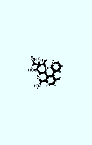 CC1OC(c2c(C(N)=O)ncc(F)c2-c2cccnc2)CC(O)C1(O)CO